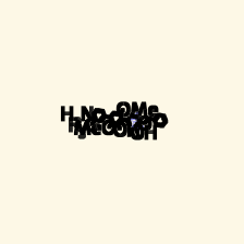 C=C(/C=C\C(=C\O)OCc1ccccc1)c1c(OC)cc(-c2ccc(N)c(C(F)(F)F)c2)c(OC)c1O